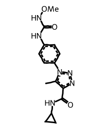 CONC(=O)Nc1ccc(-n2nnc(C(=O)NC3CC3)c2C)cc1